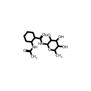 CC(=O)NC1CCCCC1C(=O)NC1OC(C)C(O)C(O)C1O